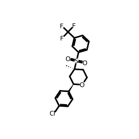 C[C@]1(S(=O)(=O)c2cccc(C(F)(F)F)c2)CCO[C@@H](c2ccc(Cl)cc2)C1